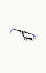 CCCCC/C=C\C/C=C\CCCCCCCC(=O)OCC(COC(=O)CCCCCCC/C=C\C/C=C\CCCCC)COC(=O)CCC(CCCCCCCCCCCC)OC(=O)OCCCN(C)C